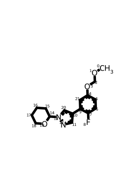 COCOc1ccc(F)c(-c2cnn(C3CCCCO3)c2)c1